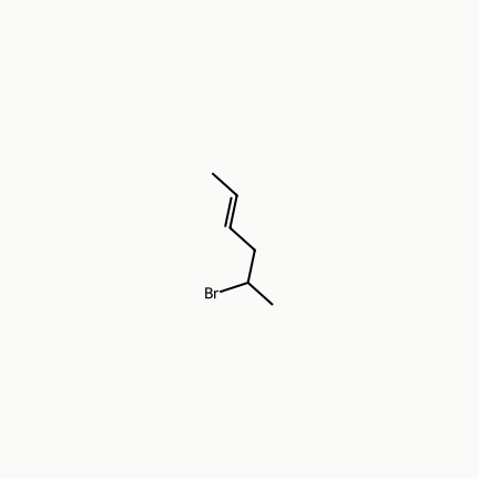 CC=CCC(C)Br